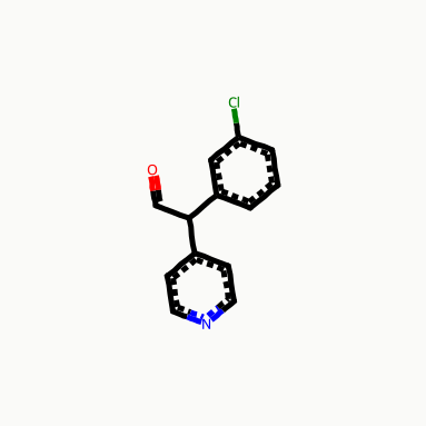 O=CC(c1ccncc1)c1cccc(Cl)c1